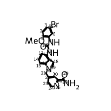 COc1ccc(Br)cc1NC(=O)Nc1cccc2c1ccn2Cc1ccnc(C(N)=O)c1